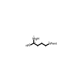 CCCCCCCC[CH]([MgH])CCC